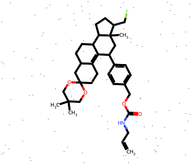 C=CCNC(=O)OCc1ccc(C2CC3(C)C(CF)CCC3C3CCC4CC5(CCC4=C23)OCC(C)(C)CO5)cc1